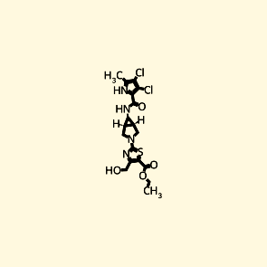 CCOC(=O)c1sc(N2C[C@@H]3[C@H](C2)[C@H]3NC(=O)c2[nH]c(C)c(Cl)c2Cl)nc1CO